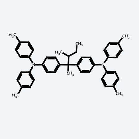 CCC(C)C(C)(c1ccc(N(c2ccc(C)cc2)c2ccc(C)cc2)cc1)c1ccc(N(c2ccc(C)cc2)c2ccc(C)cc2)cc1